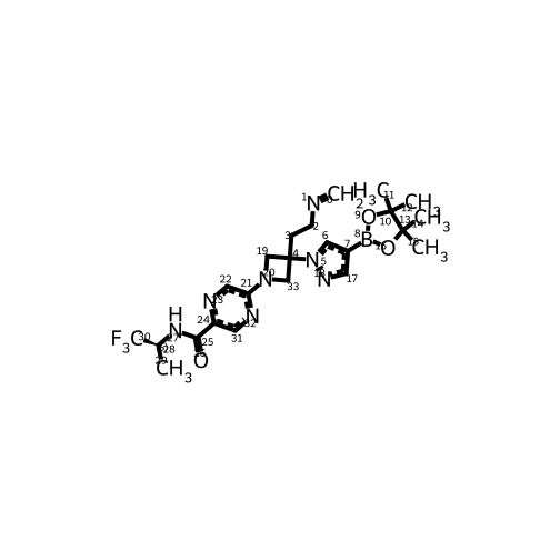 C=NCCC1(n2cc(B3OC(C)(C)C(C)(C)O3)cn2)CN(c2cnc(C(=O)N[C@@H](C)C(F)(F)F)cn2)C1